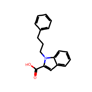 O=C(O)c1cc2ccccc2n1CCCc1ccccc1